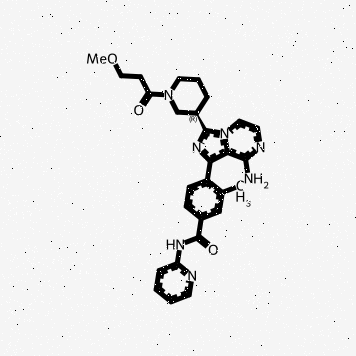 COCCC(=O)N1CCC[C@@H](c2nc(-c3ccc(C(=O)Nc4ccccn4)cc3C)c3c(N)nccn23)C1